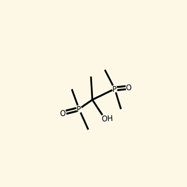 CC(O)(P(C)(C)=O)P(C)(C)=O